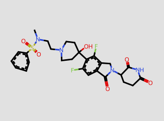 CN(CCN1CCC(O)(c2c(F)cc3c(c2F)CN(C2CCC(=O)NC2=O)C3=O)CC1)S(=O)(=O)c1ccccc1